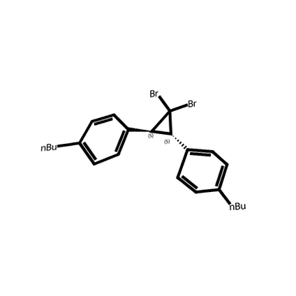 CCCCc1ccc([C@@H]2[C@@H](c3ccc(CCCC)cc3)C2(Br)Br)cc1